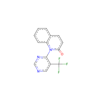 O=c1ccc2ccccc2n1-c1ncncc1C(F)(F)F